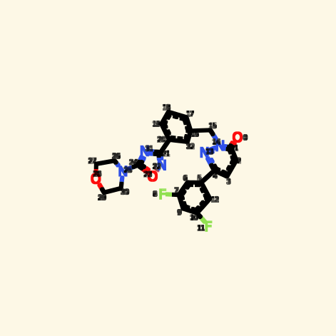 O=c1ccc(-c2cc(F)cc(F)c2)nn1Cc1cccc(-c2noc(N3CCOCC3)n2)c1